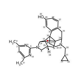 Cc1cc(C)nc(N2C[C@H]3CC45CCC2C3C42CCN(CC3CC3)C5Cc3ccc(O)cc32)n1